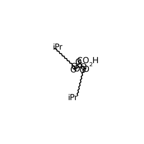 CC(C)CCCCCCCCCCCCCCCOC(=O)OC1CC(OC(=O)O)CC(OC(=O)OCCCCCCCCCCCCCCCC(C)C)C1